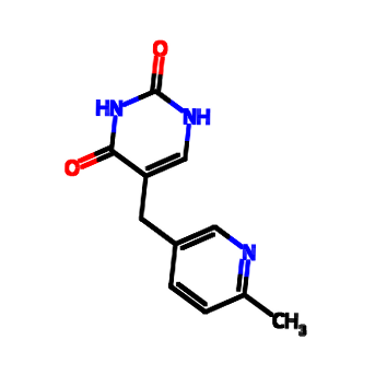 Cc1ccc(Cc2c[nH]c(=O)[nH]c2=O)cn1